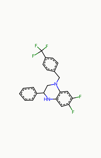 Fc1cc2c(cc1F)N(Cc1ccc(C(F)(F)F)cc1)CC(c1ccccc1)N2